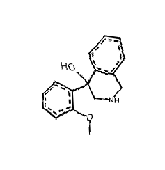 COc1ccccc1C1(O)CNCc2ccccc21